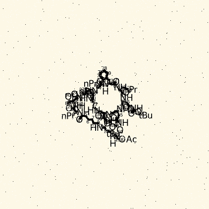 CCC[C@H](NC(=O)CCCCCNC(=O)CCNCCOC(C)=O)C(=O)N[C@H](C(=O)N[C@@H](CCC)C(=O)N[C@H]1CCNC(=O)[C@H]([C@@H](C)O)NC(=O)[C@H](CCNC(=O)OC(C)(C)C)NC(=O)[C@H](CCNC(=O)OC(C)(C)C)NC(=O)[C@H](CC(C)C)NC(=O)[C@@H](Cc2ccccc2)NC(=O)[C@H](CCC)NC1=O)[C@@H](C)O